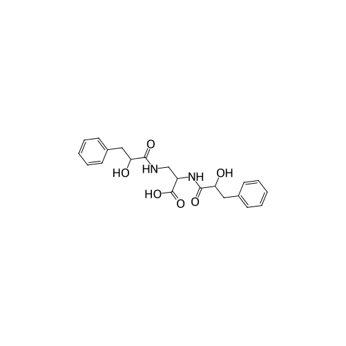 O=C(NCC(NC(=O)C(O)Cc1ccccc1)C(=O)O)C(O)Cc1ccccc1